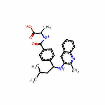 Cc1nc2ccccc2cc1NC(CC(C)C)c1ccc(C(=O)NC(C)C(=O)O)cc1